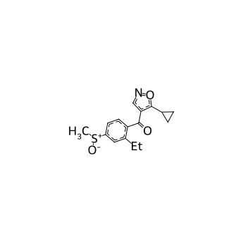 CCc1cc([S+](C)[O-])ccc1C(=O)c1cnoc1C1CC1